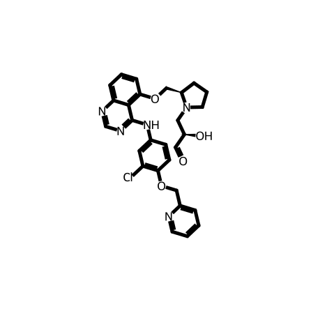 O=C[C@H](O)CN1CCC[C@@H]1COc1cccc2ncnc(Nc3ccc(OCc4ccccn4)c(Cl)c3)c12